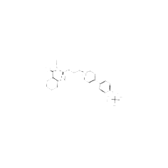 O=c1[nH]c(CCCN2CC=C(c3ccc(OC(F)(F)F)cc3)CC2)nc2c1CCCC2